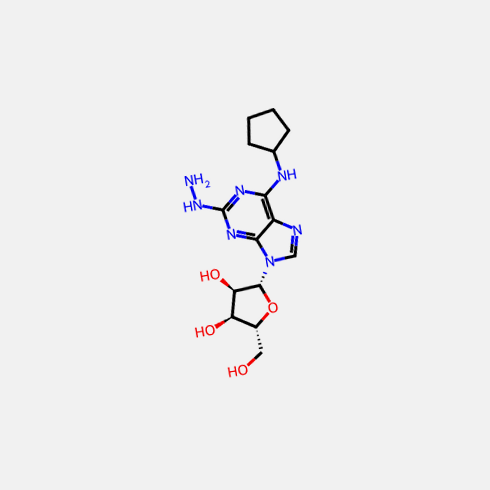 NNc1nc(NC2CCCC2)c2ncn([C@@H]3O[C@H](CO)[C@@H](O)[C@H]3O)c2n1